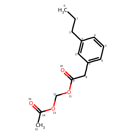 CCCc1cccc(CC(=O)OCOC(C)=O)c1